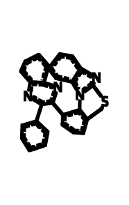 c1ccc(-c2nc3ccccc3nc2-c2cccc3c2-n2c(nc4ccccc42)SC3)cc1